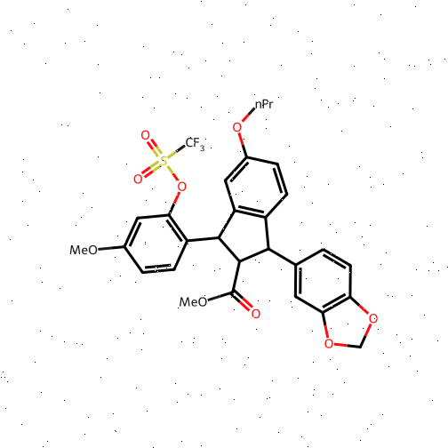 CCCOc1ccc2c(c1)C(c1ccc(OC)cc1OS(=O)(=O)C(F)(F)F)C(C(=O)OC)C2c1ccc2c(c1)OCO2